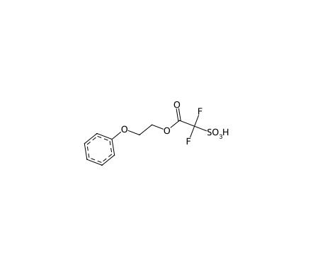 O=C(OCCOc1ccccc1)C(F)(F)S(=O)(=O)O